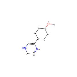 COC1CCC(C2=CNCC=N2)CC1